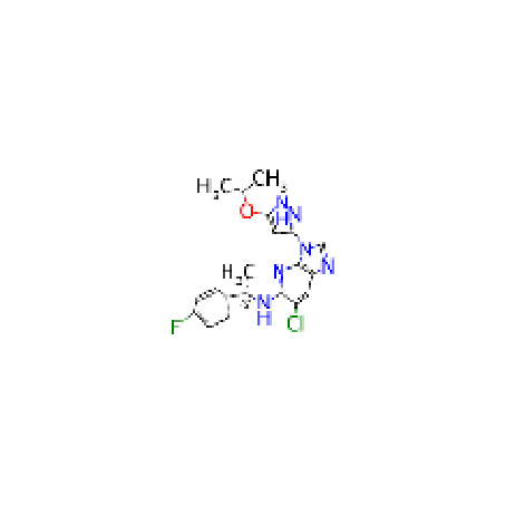 CC(C)Oc1cc(-n2cnc3cc(Cl)c(N[C@@H](C)c4ccc(F)cc4)nc32)n[nH]1